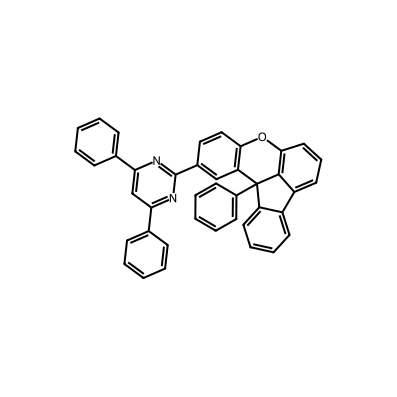 c1ccc(-c2cc(-c3ccccc3)nc(-c3ccc4c(c3)C3(c5ccccc5)c5ccccc5-c5cccc(c53)O4)n2)cc1